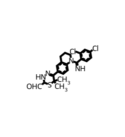 CC1(C)SC(C=O)NN=C1c1ccc2c(c1)CCCN2C(=N)c1ccc(Cl)cc1Cl